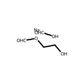 O=CO.O=COCCO.[Na]